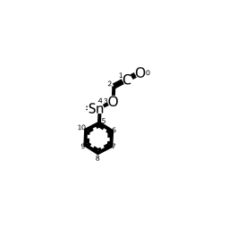 O=C=C[O][Sn][c]1ccccc1